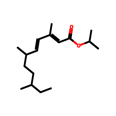 CCC(C)CCC(C)C=CC(C)=CC(=O)OC(C)C